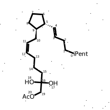 CCCC(C)CC/C=C/[C@H]1CCC[C@@H]1C/C=C\CCCC(O)(O)COC(C)=O